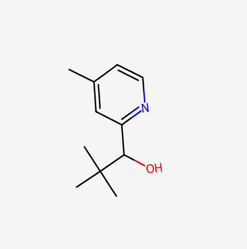 Cc1ccnc(C(O)C(C)(C)C)c1